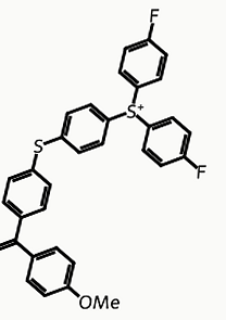 COc1ccc(C(=O)c2ccc(Sc3ccc([S+](c4ccc(F)cc4)c4ccc(F)cc4)cc3)cc2)cc1